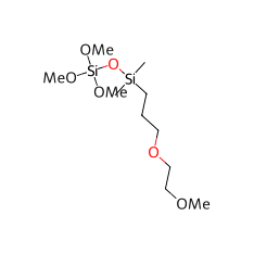 COCCOCCC[Si](C)(C)O[Si](OC)(OC)OC